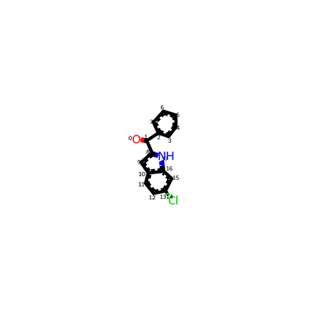 O=C(c1ccccc1)c1[c]c2ccc(Cl)cc2[nH]1